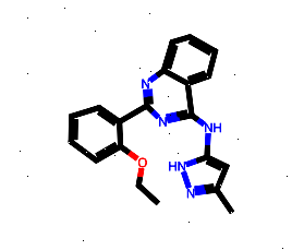 CCOc1ccccc1-c1nc(Nc2cc(C)n[nH]2)c2ccccc2n1